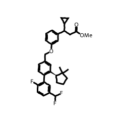 COC(=O)CC(c1cccc(OCc2ccc(-c3cc(C(F)F)ccc3F)c([C@@H]3CCCC3(C)C)c2)c1)C1CC1